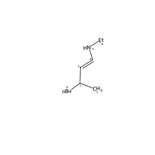 CCCCC(C)C=CNCC